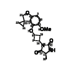 COc1ccc2c(c1OC1CC(N3C(=O)N[C@@H](C)C3=O)C1)C1(CC1)CO2